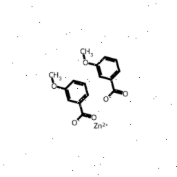 COc1cccc(C(=O)[O-])c1.COc1cccc(C(=O)[O-])c1.[Zn+2]